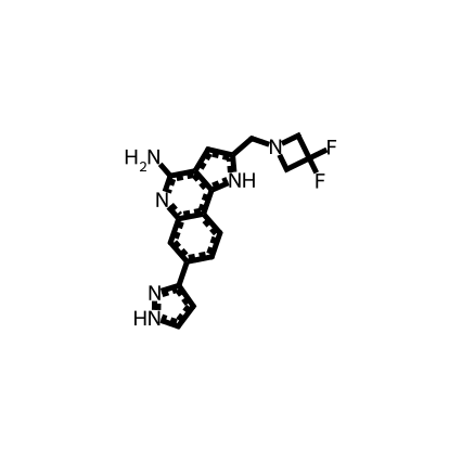 Nc1nc2cc(-c3cc[nH]n3)ccc2c2[nH]c(CN3CC(F)(F)C3)cc12